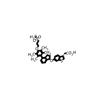 Cc1c(C)c(-c2cccc3c2CCC3Oc2ccc3c(c2)SC[C@H]3CC(=O)O)c(C)c(C)c1OCCCS(C)(=O)=O